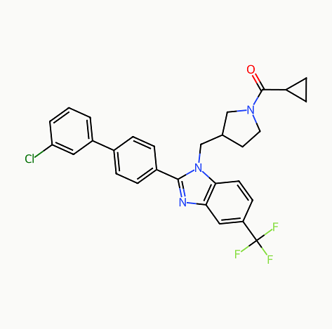 O=C(C1CC1)N1CCC(Cn2c(-c3ccc(-c4cccc(Cl)c4)cc3)nc3cc(C(F)(F)F)ccc32)C1